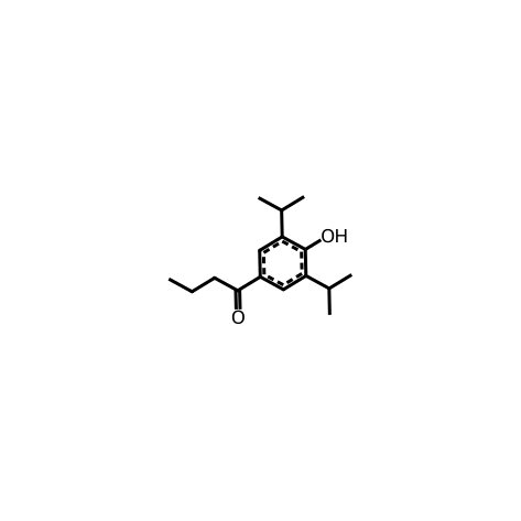 CCCC(=O)c1cc(C(C)C)c(O)c(C(C)C)c1